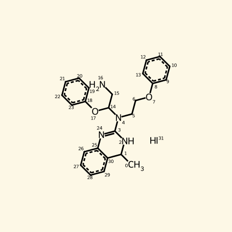 CC1NC(N(CCOc2ccccc2)C(CN)Oc2ccccc2)=Nc2ccccc21.I